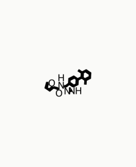 Cc1cccc(C)c1-c1ccc2c(NC(=O)c3ccco3)n[nH]c2c1